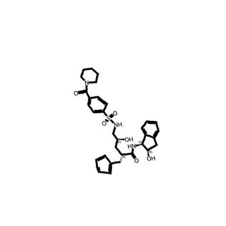 O=C(N[C@H]1c2ccccc2C[C@H]1O)[C@H](Cc1ccccc1)C[C@H](O)CNS(=O)(=O)c1ccc(C(=O)N2CCCCC2)cc1